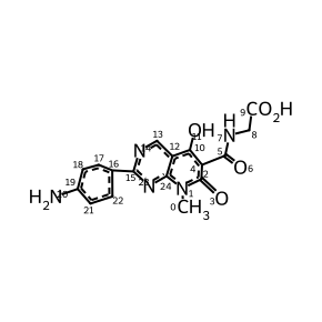 Cn1c(=O)c(C(=O)NCC(=O)O)c(O)c2cnc(-c3ccc(N)cc3)nc21